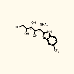 CC(=O)N[C@H](c1nc2cc(C(F)(F)F)ccc2[nH]1)C(O)[C@@H](O)C(O)CO